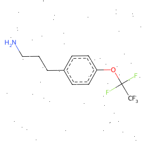 NCCCc1ccc(OC(F)(F)C(F)(F)F)cc1